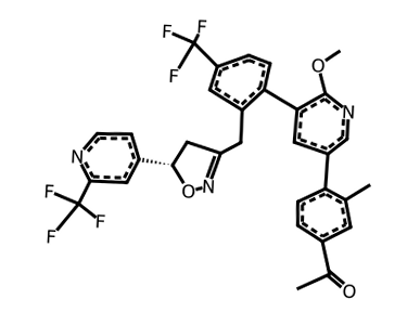 COc1ncc(-c2ccc(C(C)=O)cc2C)cc1-c1ccc(C(F)(F)F)cc1CC1=NO[C@H](c2ccnc(C(F)(F)F)c2)C1